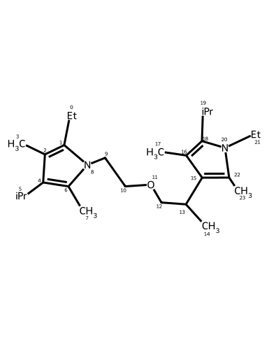 CCc1c(C)c(C(C)C)c(C)n1CCOCC(C)c1c(C)c(C(C)C)n(CC)c1C